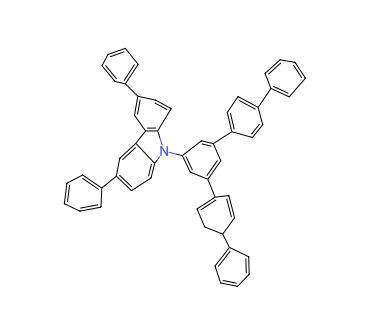 C1=CC(c2ccccc2)CC=C1c1cc(-c2ccc(-c3ccccc3)cc2)cc(-n2c3ccc(-c4ccccc4)cc3c3cc(-c4ccccc4)ccc32)c1